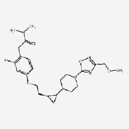 COCc1noc(N2CCC(C3C[C@H]3CCOc3ccc(CC(=O)N(C)C)c(F)c3)CC2)n1